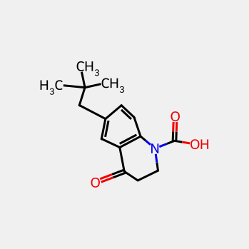 CC(C)(C)Cc1ccc2c(c1)C(=O)CCN2C(=O)O